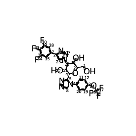 OC[C@H]1O[C@@H](c2nncn2-c2ccc(OC(F)(F)F)cc2)[C@H](O)[C@@H](n2cc(-c3cc(F)c(F)c(F)c3)nn2)[C@H]1O